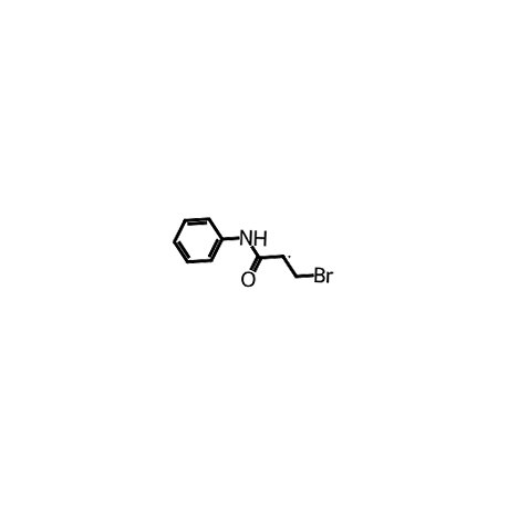 O=C([CH]CBr)Nc1ccccc1